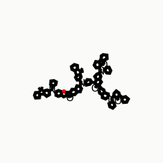 CC1(C)c2ccccc2-c2ccc(N(c3ccccc3)c3ccc4cc5oc6cc7ccc(N(c8ccc(-c9c%10ccc(N(c%11ccccc%11)c%11cccc%12c%11oc%11ccccc%11%12)cc%10cc%10c9oc9cc%11ccc(N(c%12ccccc%12)c%12cccc%13c%12oc%12ccccc%12%13)cc%11cc9%10)cc8)c8ccc9c(c8)C(C)(C)c8ccccc8-9)cc7cc6c5cc4c3)cc21